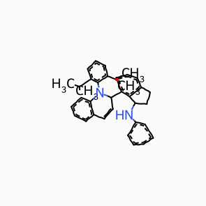 CC(C)c1cccc(C(C)C)c1N1c2ccccc2C=CC1c1cccc2c1C(Nc1ccccc1)CC2